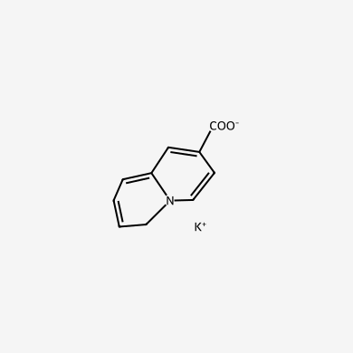 O=C([O-])C1=CC2=CC=CCN2C=C1.[K+]